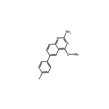 CCCCOc1nc(N)nc2ccc(-c3ccc(F)cc3)cc12